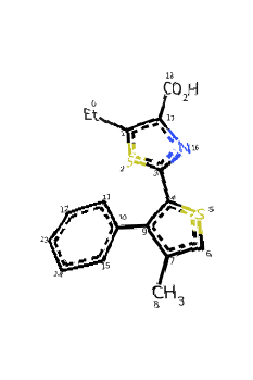 CCc1sc(-c2scc(C)c2-c2ccccc2)nc1C(=O)O